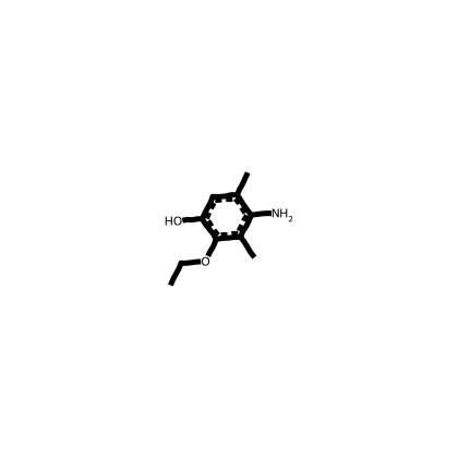 CCOc1c(O)cc(C)c(N)c1C